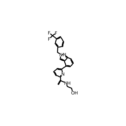 C=C(NCCO)c1cccc(-c2cccc3nn(Cc4cccc(C(F)(F)F)c4)cc23)n1